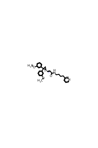 COc1cccc(C2(c3cccc(OC)c3)C[C@H]2/C=C/C(=O)NCCCCc2cccnn2)c1